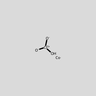 [Co].[O-][Cl+2]([O-])O